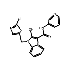 O=C(Nc1cccnc1)c1c(O)n(Cc2cnc(Cl)s2)c2cccc[n+]12